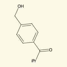 CC(C)C(=O)c1ccc(CO)cc1